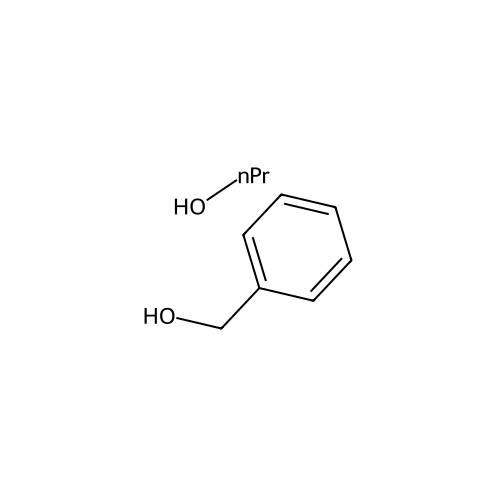 CCCO.OCc1ccccc1